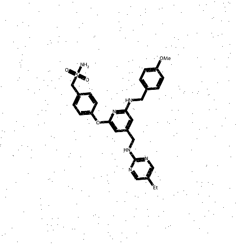 CCc1cnc(NCc2cc(NCc3ccc(OC)cc3)nc(Oc3ccc(CS(N)(=O)=O)cc3)c2)nc1